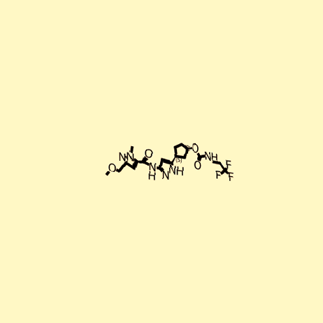 COCc1cc(C(=O)Nc2cc([C@H]3CC[C@@H](OC(=O)NCCC(F)(F)F)C3)[nH]n2)n(C)n1